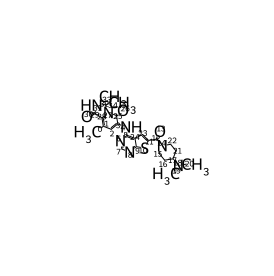 Cc1cc(Nc2ncnc3sc(C(=O)N4CCC(N(C)C)CC4)cc23)c(=O)n2c1C(=O)NC2(C)C